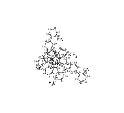 N#Cc1ccccc1-c1ccc2c3ccc(-c4ccccc4C#N)cc3n(-c3ccc(C(F)(F)F)cc3-c3nc(-c4ccccc4)nc(-c4cc(C(F)(F)F)ccc4-n4c5cc(-c6ccccc6C#N)ccc5c5ccc(-c6ccccc6C#N)cc54)n3)c2c1